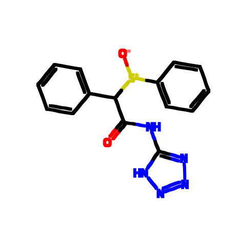 O=C(Nc1nnn[nH]1)C(c1ccccc1)[S+]([O-])c1ccccc1